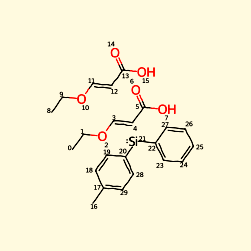 CCOC=CC(=O)O.CCOC=CC(=O)O.Cc1ccc([Si]c2ccccc2)cc1